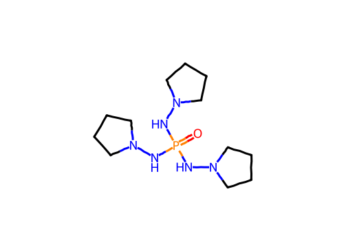 O=P(NN1CCCC1)(NN1CCCC1)NN1CCCC1